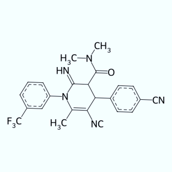 [C-]#[N+]C1=C(C)N(c2cccc(C(F)(F)F)c2)C(=N)C(C(=O)N(C)C)C1c1ccc(C#N)cc1